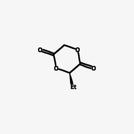 CC[C@H]1OC(=O)COC1=O